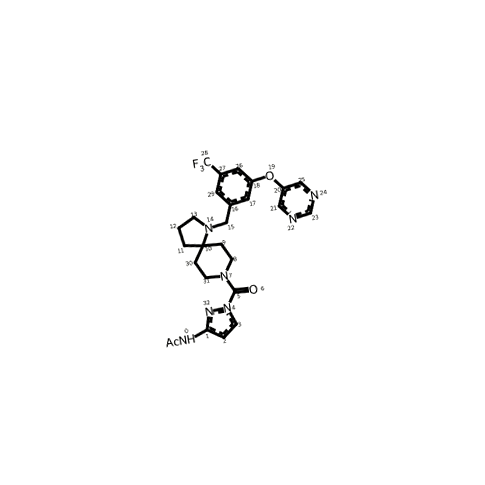 CC(=O)Nc1ccn(C(=O)N2CCC3(CCCN3Cc3cc(Oc4cncnc4)cc(C(F)(F)F)c3)CC2)n1